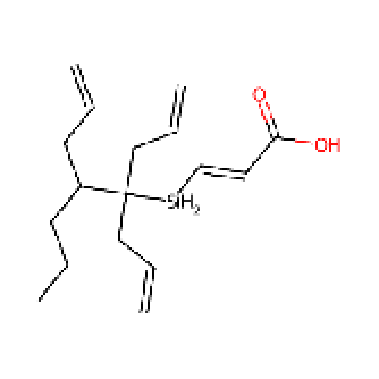 C=CCC(CCC)C(CC=C)(CC=C)[SiH2]C=CC(=O)O